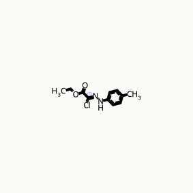 CCOC(=O)/C(Cl)=N/Nc1ccc(C)cc1